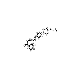 CCCC[C@H]1CC[C@H](c2ccc(N=NC3C=CC(=O)c4ccccc43)cc2)CC1